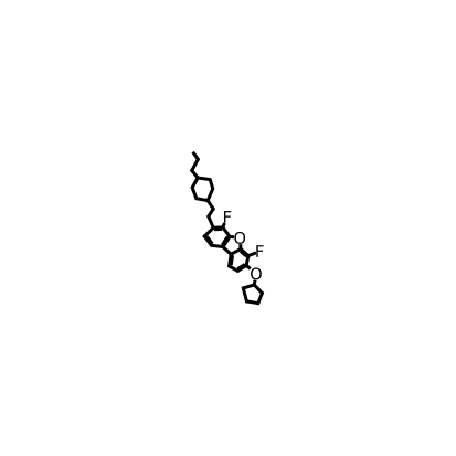 CCCC1CCC(CCc2ccc3c(oc4c(F)c(OC5CCCC5)ccc43)c2F)CC1